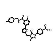 CC1=NN(c2ccc(C(=O)O)cc2)C(=O)C1Cc1ccc(-c2ccc(Cl)c(C(=O)NCc3ccc(F)cc3)c2)o1